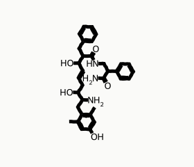 Cc1cc(O)cc(C)c1CC(N)C(O)CC=CC(O)C(Cc1ccccc1)C(=O)NCC(C(N)=O)c1ccccc1